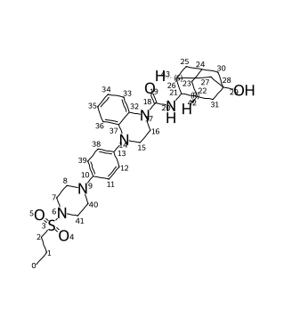 CCCS(=O)(=O)N1CCN(c2ccc(N3CCN(C(=O)NC4[C@@H]5CC6C[C@H]4CC(O)(C6)C5)c4ccccc43)cc2)CC1